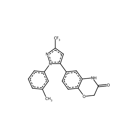 Cc1cccc(-n2nc(C(F)(F)F)cc2-c2ccc3c(c2)NC(=O)CO3)c1